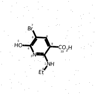 CCNc1nc(O)c(Br)cc1C(=O)O